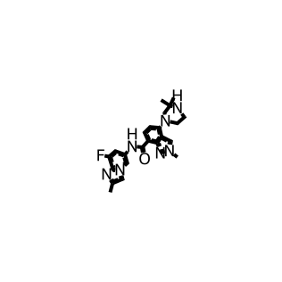 Cc1cn2cc(NC(=O)c3ccc(N4CCNC(C)(C)C4)c4cn(C)nc34)cc(F)c2n1